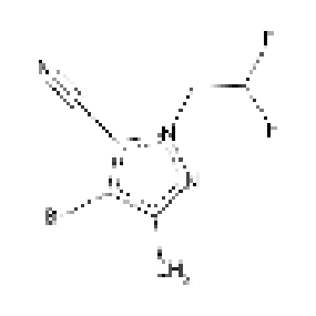 Cc1nn(CC(F)F)c(C#N)c1Br